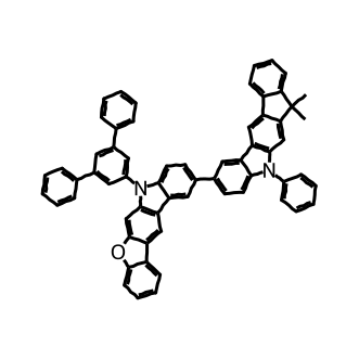 CC1(C)c2ccccc2-c2cc3c4cc(-c5ccc6c(c5)c5cc7c(cc5n6-c5cc(-c6ccccc6)cc(-c6ccccc6)c5)oc5ccccc57)ccc4n(-c4ccccc4)c3cc21